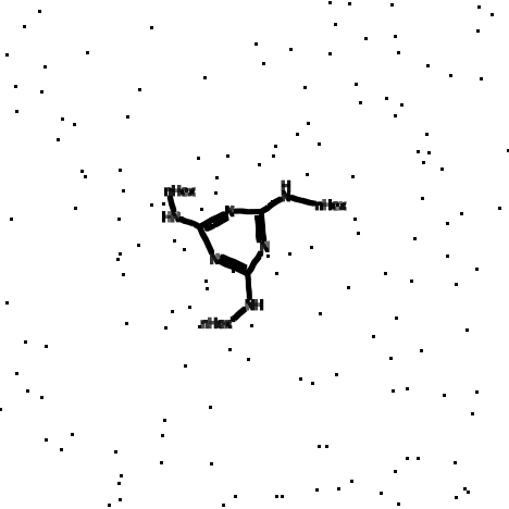 CCCCCCNc1nc(NCCCCCC)nc(NCCCCCC)n1